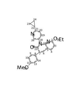 CCOc1ccc2cc(-c3ccc(OC)cc3)c(=O)n(-c3ccc(C4CC4)nc3)c2n1